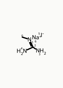 CN=C(N)N.[I-].[Na+]